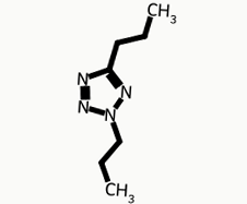 CCCc1nnn(CCC)n1